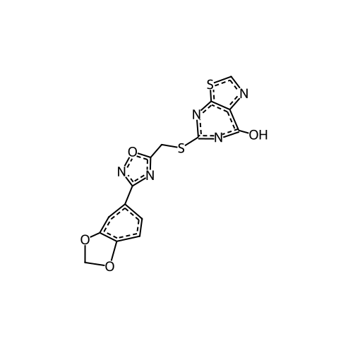 Oc1nc(SCc2nc(-c3ccc4c(c3)OCO4)no2)nc2scnc12